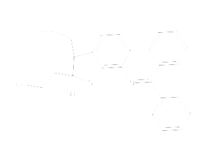 B[C@@]1(CCC)Nc2c(N=C(c3ccccc3)c3ccccc3)cccc2[C@]1(C)CC